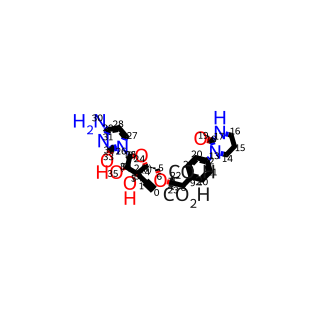 C#C[C@@]1(O)[C@@H](COC(Cc2ccc(N3CCCNC3=O)cc2)(C(=O)O)C(=O)O)O[C@@H](n2ccc(N)nc2=O)[C@@H]1O